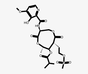 COc1ccnc(C(=O)N[C@H]2COC(=O)[C@H](CCOS(C)(=O)=O)[C@@H](OC(=O)C(C)C)[C@H](C)OC2=O)c1O